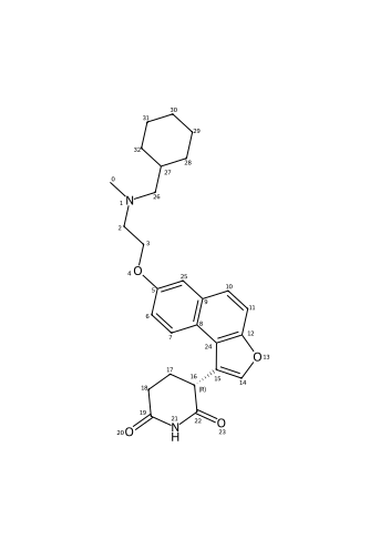 CN(CCOc1ccc2c(ccc3occ([C@H]4CCC(=O)NC4=O)c32)c1)CC1CCCCC1